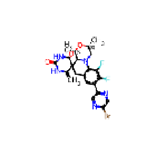 C=C1NC(=O)NC(=O)C12Cc1cc(-c3cnc(Br)cn3)c(F)c(F)c1N1C[C@@H](C)O[C@@H](C)C12